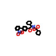 O=C(/C(=N\OC(=O)C1CCCCC1)C1CCCCC1)c1ccc(-c2ccccc2[N+](=O)[O-])cc1